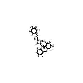 Cc1ccccc1N(c1ccccc1C)C1CC(OCc2ccccc2)C1